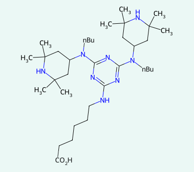 CCCCN(c1nc(NCCCCCC(=O)O)nc(N(CCCC)C2CC(C)(C)NC(C)(C)C2)n1)C1CC(C)(C)NC(C)(C)C1